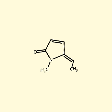 CC=C1C=CC(=O)N1C